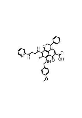 COc1ccc(CNc2c(F)c(NCCNc3ccccn3)c3c4c2c(=O)c(C(=O)O)cn4C(c2ccccc2)CO3)cc1